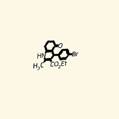 CCOC(=O)C1=C(C)NC2=C(C(=O)CCC2)C1c1ccc(Br)cc1